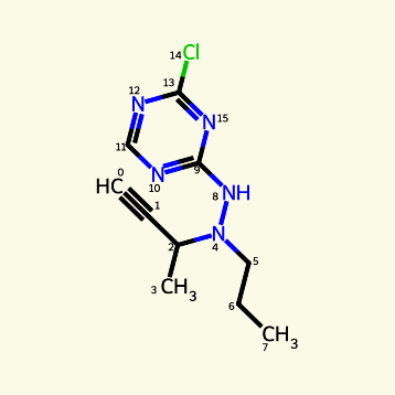 C#CC(C)N(CCC)Nc1ncnc(Cl)n1